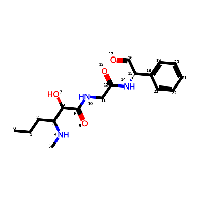 CCCC(NC)C(O)C(=O)NCC(=O)N[C@H](C=O)c1ccccc1